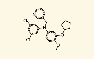 COc1ccc(N(Cc2cccnc2)c2cc(Cl)cc(Cl)c2)cc1OC1CCCC1